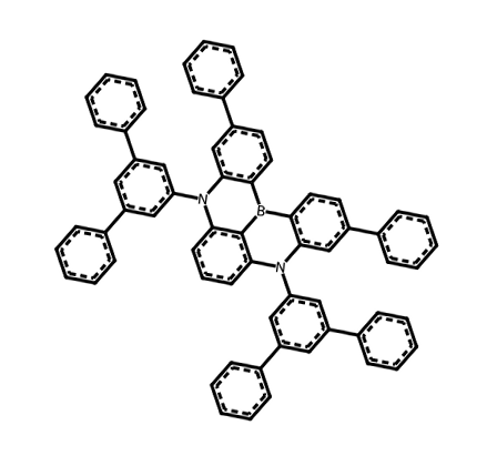 c1ccc(-c2cc(-c3ccccc3)cc(N3c4cc(-c5ccccc5)ccc4B4c5ccc(-c6ccccc6)cc5N(c5cc(-c6ccccc6)cc(-c6ccccc6)c5)c5cccc3c54)c2)cc1